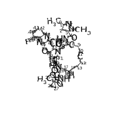 Cc1cc(C(=O)N[C@H]2CCCCCC=C[C@@H]3C[C@@]3(C(=O)NS(=O)(=O)C3(C)CC3)NC(=O)[C@@H]3C[C@@H](Oc4nc5c(F)cccc5nc4C)CN3C2=O)n(C)n1